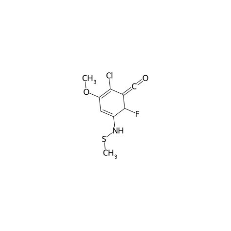 COC1=C(Cl)C(=C=O)C(F)C(NSC)=C1